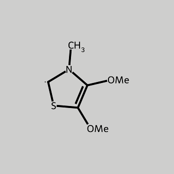 COC1=C(OC)N(C)[CH]S1